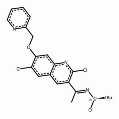 CC(=N[S@+]([O-])C(C)(C)C)c1cc2cc(Cl)c(OCc3ccccn3)cc2nc1Cl